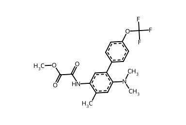 COC(=O)C(=O)Nc1cc(-c2ccc(OC(F)(F)F)cc2)c(N(C)C)cc1C